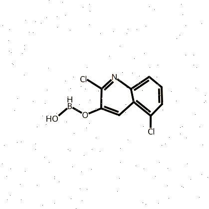 OBOc1cc2c(Cl)cccc2nc1Cl